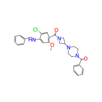 COc1cc(NCc2ccccc2)c(Cl)cc1C(=O)N1CC(N2CCN(C(=O)c3ccccc3)CC2)C1